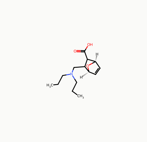 CCCN(CCC)CC1C(C(=O)O)[C@H]2C=C[C@@H]1O2